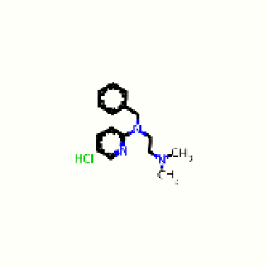 CN(C)CCN(Cc1ccccc1)c1ccccn1.Cl